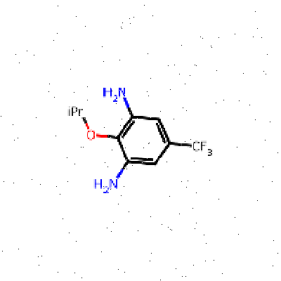 CC(C)Oc1c(N)cc(C(F)(F)F)cc1N